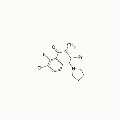 CC(C)C(CN1CCCC1)N(C)C(=O)c1cccc(Cl)c1F